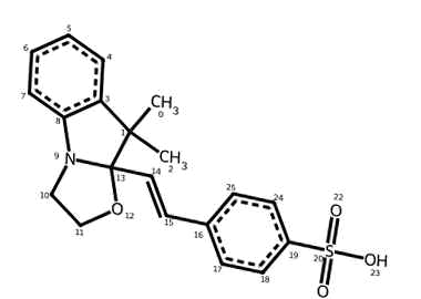 CC1(C)c2ccccc2N2CCOC21/C=C/c1ccc(S(=O)(=O)O)cc1